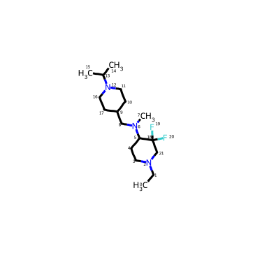 CCN1CCC(N(C)CC2CCN(C(C)C)CC2)C(F)(F)C1